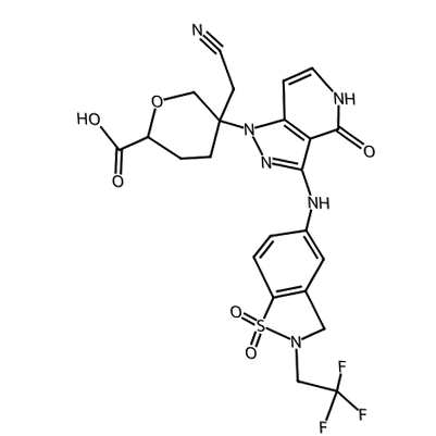 N#CCC1(n2nc(Nc3ccc4c(c3)CN(CC(F)(F)F)S4(=O)=O)c3c(=O)[nH]ccc32)CCC(C(=O)O)OC1